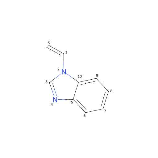 C=Cn1cnc2ccccc21